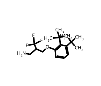 CC(C)(C)c1cccc(OCC(CN)C(F)(F)F)c1C(C)(C)C